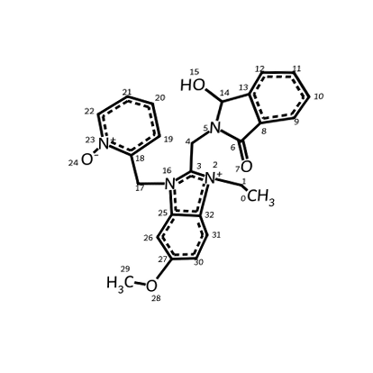 CC[n+]1c(CN2C(=O)c3ccccc3C2O)n(Cc2cccc[n+]2[O-])c2cc(OC)ccc21